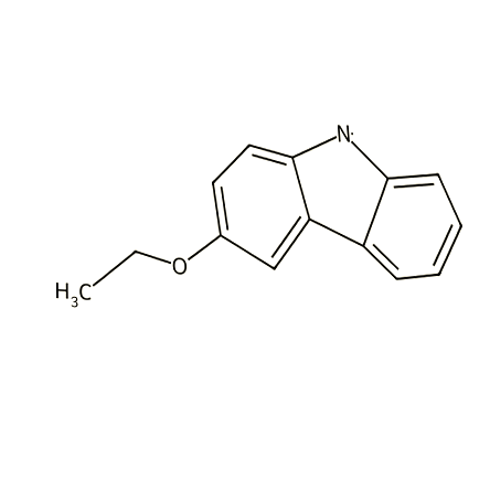 CCOc1ccc2c(c1)-c1ccccc1[N]2